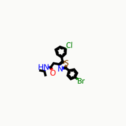 CC(C)NC(=O)Cc1nc(-c2ccc(Br)cc2)sc1-c1cccc(Cl)c1